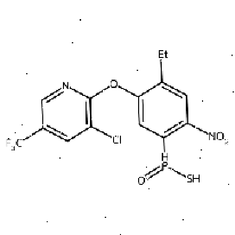 CCc1cc([N+](=O)[O-])c([PH](=O)S)cc1Oc1ncc(C(F)(F)F)cc1Cl